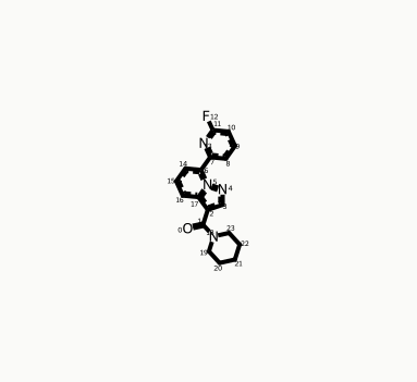 O=C(c1cnn2c(-c3cccc(F)n3)cccc12)N1CCCCC1